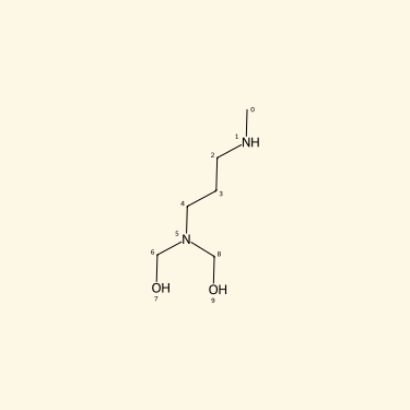 CNCCCN(CO)CO